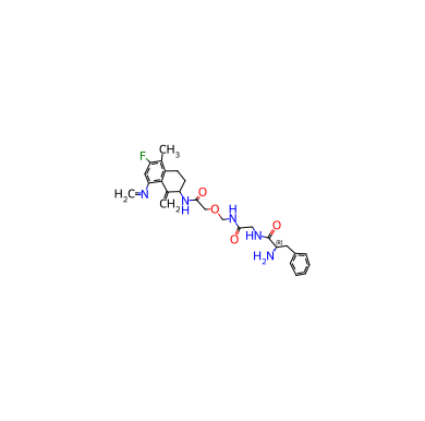 C=Nc1cc(F)c(C)c2c1C(=C)C(NC(=O)COCNC(=O)CNC(=O)[C@H](N)Cc1ccccc1)CC2